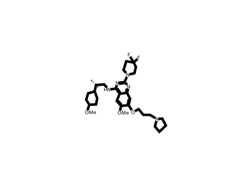 COc1cc2c(NC[C@@H](C)C3CCC(OC)CC3)nc(N3CCC(F)(F)CC3)nc2cc1OCCCN1CCCC1